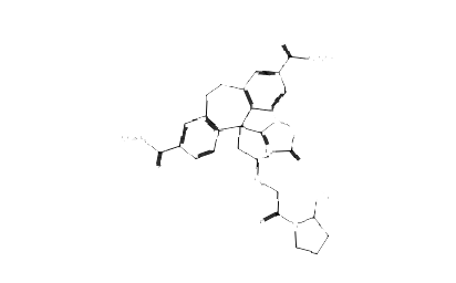 CNC(=O)c1ccc2c(c1)CCc1cc(C(=O)NC)ccc1C2(C[C@@H](C)NCC(=O)N1CCCC1C#N)c1nc(=O)o[nH]1